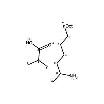 CC(C)C(=O)O.CCCCCCCCCCCCC(C)N